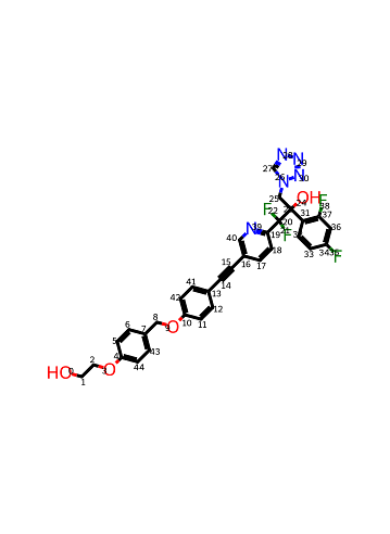 OCCOc1ccc(COc2ccc(C#Cc3ccc(C(F)(F)C(O)(Cn4cnnn4)c4ccc(F)cc4F)nc3)cc2)cc1